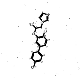 CCC(Cn1ccnc1)Sc1cc(-c2ccc(Cl)cc2)ccc1Cl